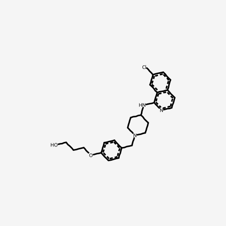 OCCCOc1ccc(CN2CCC(Nc3nccc4ccc(Cl)cc34)CC2)cc1